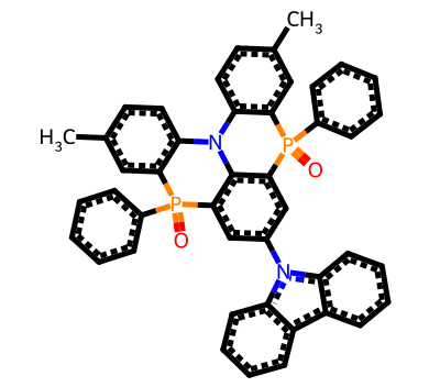 Cc1ccc2c(c1)P(=O)(c1ccccc1)c1cc(-n3c4ccccc4c4ccccc43)cc3c1N2c1ccc(C)cc1P3(=O)c1ccccc1